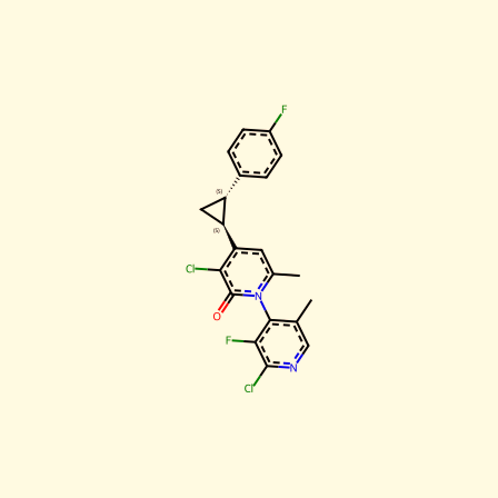 Cc1cnc(Cl)c(F)c1-n1c(C)cc([C@H]2C[C@@H]2c2ccc(F)cc2)c(Cl)c1=O